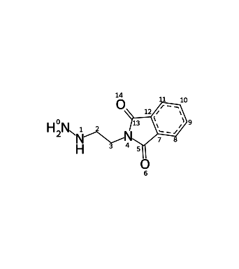 NNCCN1C(=O)c2ccccc2C1=O